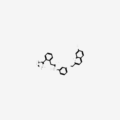 O=C(Cc1ccccc1-c1nnn[nH]1)Nc1cccc(OCc2ccc3ccc(F)cc3n2)c1